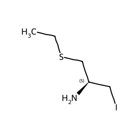 CCSC[C@H](N)CI